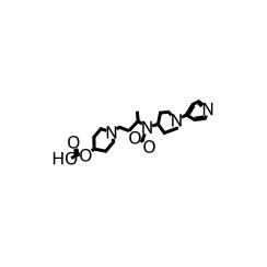 CC1C(CN2CCC(OC(=O)O)CC2)OC(=O)N1C1CCN(c2ccncc2)CC1